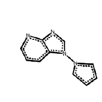 c1cnc2ncn(-n3cccc3)c2c1